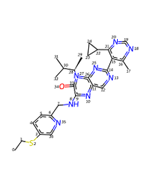 CCSc1ccc(CNc2nc3cnc(-c4c(C)ncnc4C4CC4)nc3n([C@H](C)C(C)C)c2=O)nc1